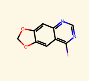 Ic1ncnc2cc3c(cc12)OCO3